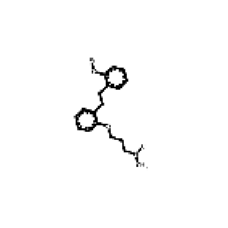 CCOc1ccccc1CCc1ccccc1OCCCN(C)C